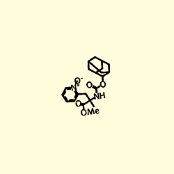 COC(=O)C(C)(Cc1cccc[n+]1[O-])NC(=O)OC1C2CC3CC(C2)CC1C3